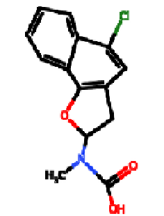 CN(C(=O)O)C1Cc2cc(Cl)c3ccccc3c2O1